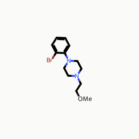 COCCN1CCN(c2ccccc2Br)CC1